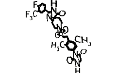 Cc1cc(N2C(=O)CNC2=O)cc(C)c1C=CS(=O)(=O)N1CCC2(CC1)N=C(c1ccc(F)c(C(F)(F)F)c1)NC2=O